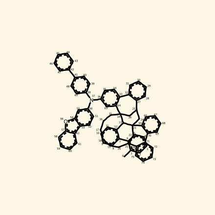 Cc1ccccc1-c1ccccc1C1C23CCCCCCC4CC1(CC(C2)c1ccccc1-c1ccc(N(c2ccc(-c5ccccc5)cc2)c2ccc5c(c2)oc2ccccc25)cc13)c1ccccc1-c1ccccc14